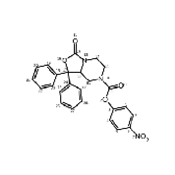 O=C(Oc1ccc([N+](=O)[O-])cc1)N1CCN2C(=O)OC(c3ccccc3)(c3ccccc3)C2C1